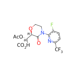 CC(=O)O[C@@H](C(=O)O)[C@H]1OCCN(c2nc(C(F)(F)F)ccc2F)C1=O